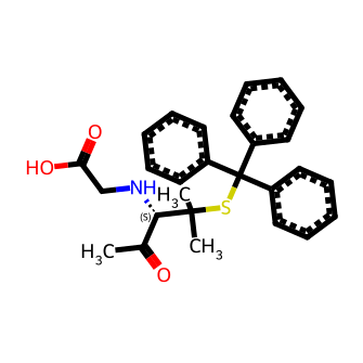 CC(=O)[C@H](NCC(=O)O)C(C)(C)SC(c1ccccc1)(c1ccccc1)c1ccccc1